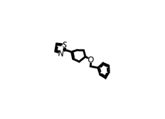 C1=C(c2nccs2)CCC(OCc2ccccc2)C1